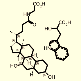 C[C@H](CCC(=O)NCC(=O)O)[C@H]1CC[C@H]2[C@@H]3[C@H](O)C[C@@H]4C[C@H](O)CC[C@]4(C)[C@H]3CC[C@]12C.O=C(O)C(O)Cc1c[nH]c2ccccc12